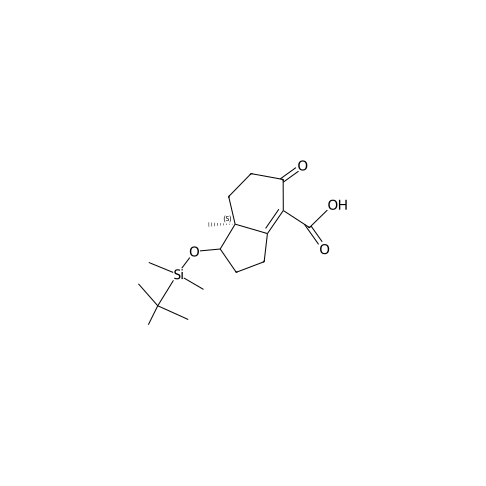 CC(C)(C)[Si](C)(C)OC1CCC2=C(C(=O)O)C(=O)CC[C@@]21C